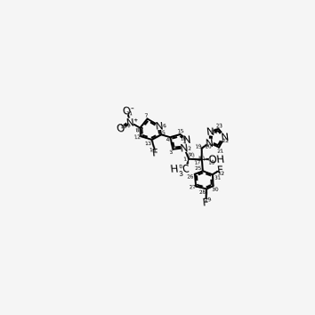 C[C@@H](n1cc(-c2ncc([N+](=O)[O-])cc2F)cn1)[C@](O)(Cn1cncn1)c1ccc(F)cc1F